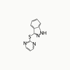 c1cnc(Sc2n[nH]c3ccccc23)nc1